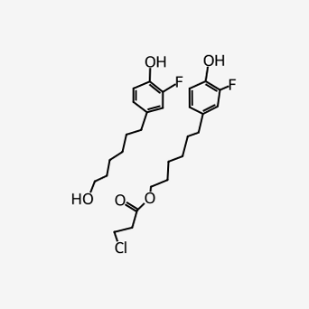 O=C(CCCl)OCCCCCCc1ccc(O)c(F)c1.OCCCCCCc1ccc(O)c(F)c1